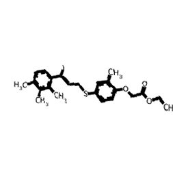 CCOC(=O)COc1ccc(SCC=C(I)c2ccc(C)c(C)c2C)cc1C